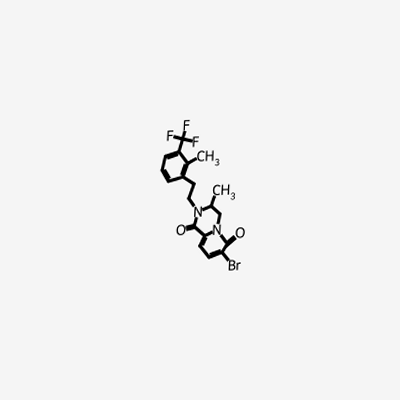 Cc1c(CCN2C(=O)c3ccc(Br)c(=O)n3CC2C)cccc1C(F)(F)F